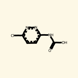 O=C(O)Nc1ccc(Cl)nn1